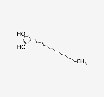 CCCCCCCCCCCC=CC=Cc1cc(O)cc(O)c1